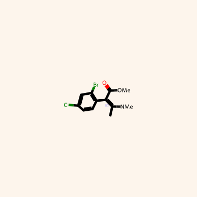 CN/C(C)=C(\C(=O)OC)c1ccc(Cl)cc1Br